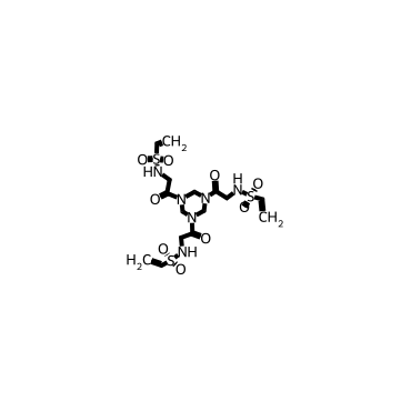 C=CS(=O)(=O)NCC(=O)N1CN(C(=O)CNS(=O)(=O)C=C)CN(C(=O)CNS(=O)(=O)C=C)C1